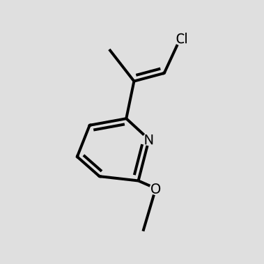 COc1cccc(/C(C)=C/Cl)n1